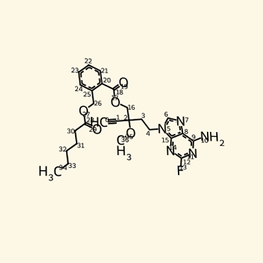 C#CC(CCn1cnc2c(N)nc(F)nc21)(COC(=O)c1ccccc1COC(=O)CCCCC)OC